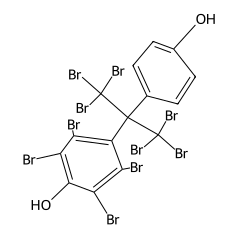 Oc1ccc(C(c2c(Br)c(Br)c(O)c(Br)c2Br)(C(Br)(Br)Br)C(Br)(Br)Br)cc1